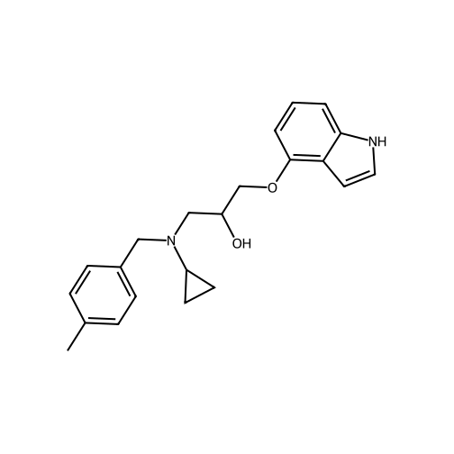 Cc1ccc(CN(CC(O)COc2cccc3[nH]ccc23)C2CC2)cc1